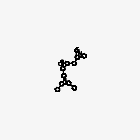 O=S1(=O)c2ccc(-c3ccc(-n4c5ccc(-c6ccccc6)cc5c5cc(-c6ccccc6)ccc54)cc3)cc2-c2cc(-c3cccc(-c4cc5c6ccccc6n6c7sccc7c(c4)c56)c3)ccc21